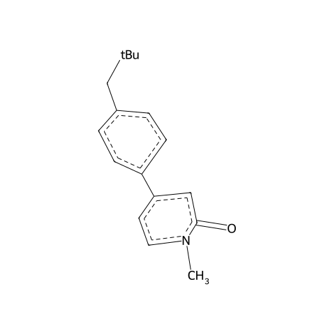 Cn1ccc(-c2ccc(CC(C)(C)C)cc2)cc1=O